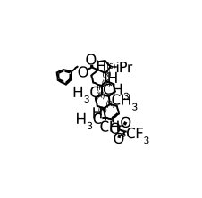 CC(C)[C@@H]1CCC2(C(=O)OCc3ccccc3)CC[C@]3(C)[C@H](CCC4[C@@]5(C)CC=C(OS(=O)(=O)C(F)(F)F)C(C)(C)[C@@H]5CC[C@]43C)[C@@H]12